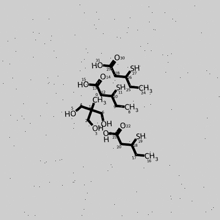 CC(CO)(CO)CO.CCC(S)CC(=O)O.CCC(S)CC(=O)O.CCC(S)CC(=O)O